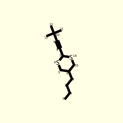 CCCCC1CSC(C#CC(C)(C)C)SC1